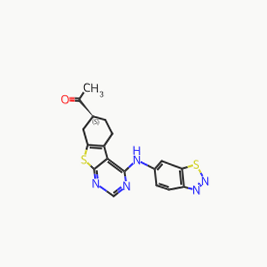 CC(=O)[C@H]1CCc2c(sc3ncnc(Nc4ccc5nnsc5c4)c23)C1